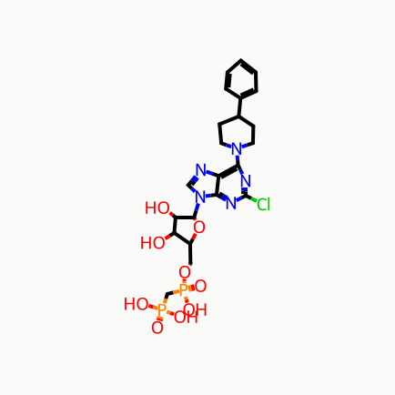 O=P(O)(O)CP(=O)(O)OCC1OC(n2cnc3c(N4CCC(c5ccccc5)CC4)nc(Cl)nc32)C(O)C1O